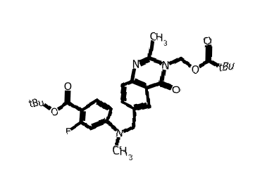 Cc1nc2ccc(CN(C)c3ccc(C(=O)OC(C)(C)C)c(F)c3)cc2c(=O)n1COC(=O)C(C)(C)C